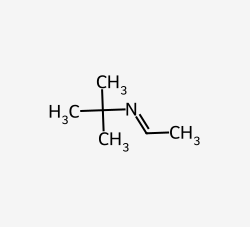 C/C=N/C(C)(C)C